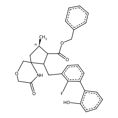 C[C@@H]1CC2(COCC(=O)N2)C(Cc2cccc(-c3ccccc3O)c2F)C1C(=O)OCc1ccccc1